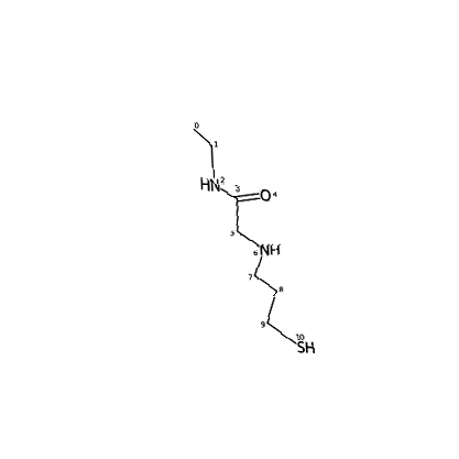 CCNC(=O)CNCCCS